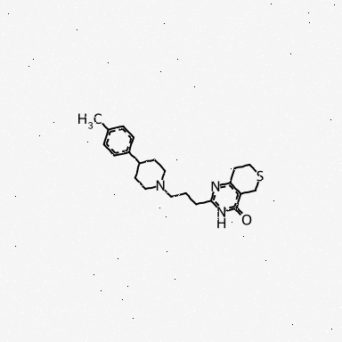 Cc1ccc(C2CCN(CCCc3nc4c(c(=O)[nH]3)CSCC4)CC2)cc1